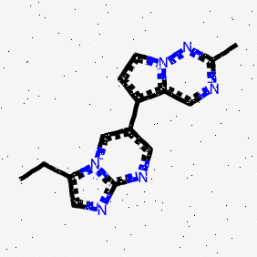 CCc1cnc2ncc(-c3ccn4nc(C)ncc34)cn12